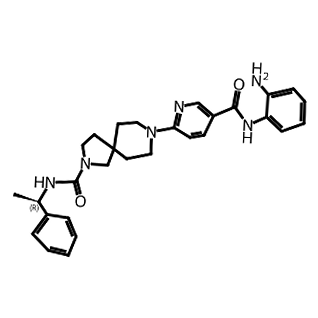 C[C@@H](NC(=O)N1CCC2(CCN(c3ccc(C(=O)Nc4ccccc4N)cn3)CC2)C1)c1ccccc1